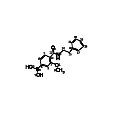 COc1cc(B(O)O)ccc1C(=O)NCCc1ccccc1